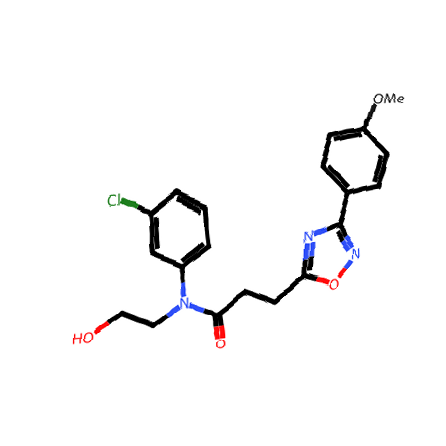 COc1ccc(-c2noc(CCC(=O)N(CCO)c3cccc(Cl)c3)n2)cc1